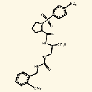 COc1ccccc1CNC(=O)NCC(NC(=O)C1CCCN1S(=O)(=O)c1ccc([N+](=O)[O-])cc1)C(=O)O